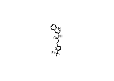 CCC(C)(C)c1ccc(CCC(=O)Nc2cnc3ccccc3c2)s1